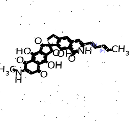 C/C=C/C=C/c1cc2cc3c(c(O)c2c(=O)[nH]1)[C@@]1(CC3)C(=O)c2c(O)c3c(c(O)c2C1=O)C(=O)C(NC)=CC3=O